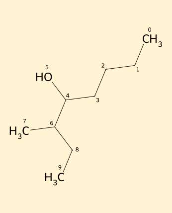 CCCCC(O)C(C)CC